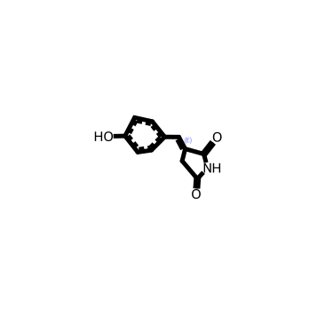 O=C1C/C(=C\c2ccc(O)cc2)C(=O)N1